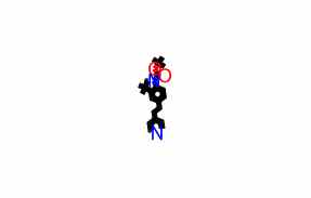 CC(C)(C)OC(=O)N1CC(C)(C)c2cc(CCc3ccncc3)ccc21